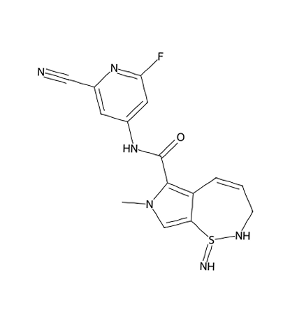 Cn1cc2c(c1C(=O)Nc1cc(F)nc(C#N)c1)C=CCNS2=N